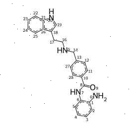 Nc1ccccc1NC(=O)c1ccc(CNCCc2c[nH]c3ccccc23)cc1